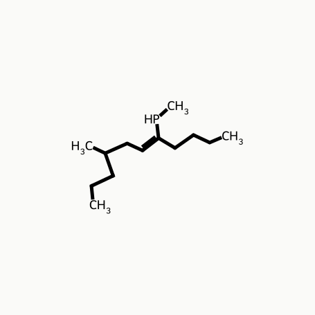 CCCC/C(=C/CC(C)CCC)PC